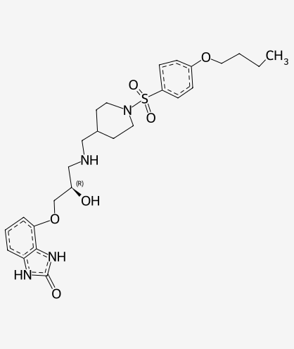 CCCCOc1ccc(S(=O)(=O)N2CCC(CNC[C@@H](O)COc3cccc4[nH]c(=O)[nH]c34)CC2)cc1